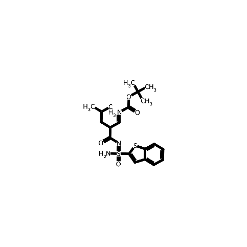 CC(C)CC(/C=N/C(=O)OC(C)(C)C)C(=O)N=S(N)(=O)c1cc2ccccc2s1